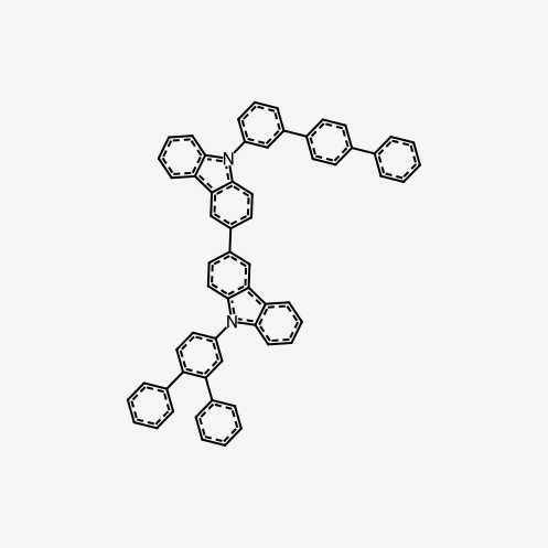 c1ccc(-c2ccc(-c3cccc(-n4c5ccccc5c5cc(-c6ccc7c(c6)c6ccccc6n7-c6ccc(-c7ccccc7)c(-c7ccccc7)c6)ccc54)c3)cc2)cc1